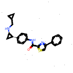 O=C(Nc1ccc([C@@H]2C[C@H]2NCC2CC2)cc1)c1nc(-c2ccccc2)cs1